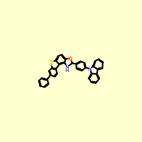 c1ccc(-c2ccc3c(c2)sc2ccc4c(c23)NC(c2ccc(-n3c5ccccc5c5ccccc53)cc2)O4)cc1